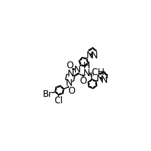 C[C@@H](NC(=O)c1c2n(c(=O)n1-c1ccc(-n3cccn3)cc1)CCN(C(=O)c1ccc(Br)c(Cl)c1)C2)c1ccccc1-n1cccn1